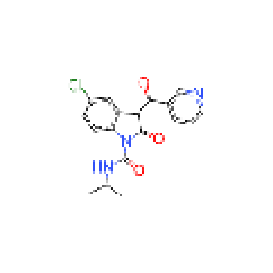 CC(C)NC(=O)N1C(=O)C(C(=O)c2cccnc2)c2cc(Cl)ccc21